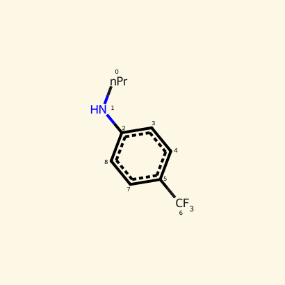 [CH2]CCNc1ccc(C(F)(F)F)cc1